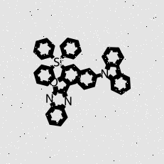 c1ccc([Si](c2ccccc2)(c2ccccc2)c2cc3cc(-n4c5ccccc5c5ccccc54)ccc3c3c2oc2nc4ccccc4nc23)cc1